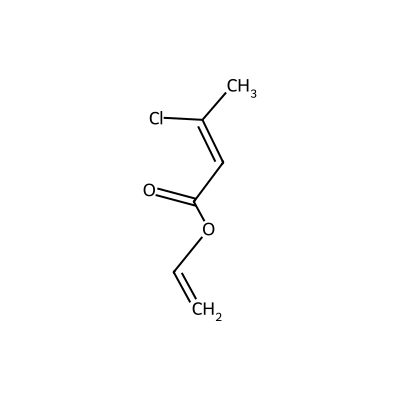 C=COC(=O)C=C(C)Cl